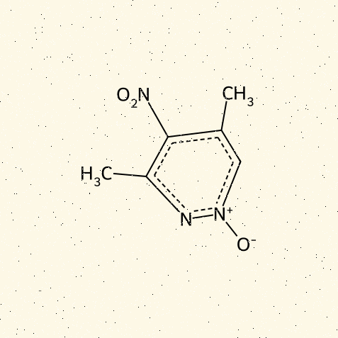 Cc1c[n+]([O-])nc(C)c1[N+](=O)[O-]